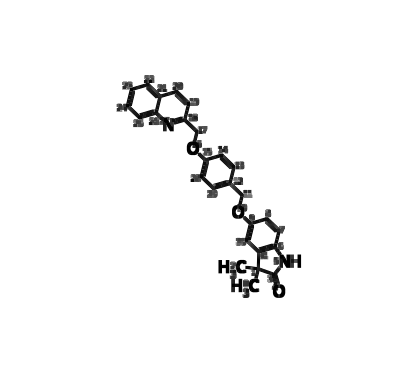 CC1(C)C(=O)Nc2ccc(OCc3ccc(OCc4ccc5ccccc5n4)cc3)cc21